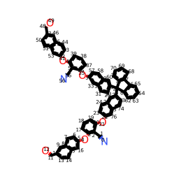 N#Cc1c(Oc2ccc3cc(C=O)ccc3c2)cccc1Oc1ccc2cc(C3(c4ccc5cc(Oc6cccc(Oc7ccc8cc(C=O)ccc8c7)c6C#N)ccc5c4)c4ccccc4-c4ccccc43)ccc2c1